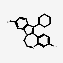 Cc1ccc2c(C3CCCCC3)c3n(c2c1)CCOc1cc(O)ccc1-3